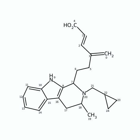 C=C(/C=C/C(=O)O)CCC1c2[nH]c3ccccc3c2CC(C)N1CC1CC1